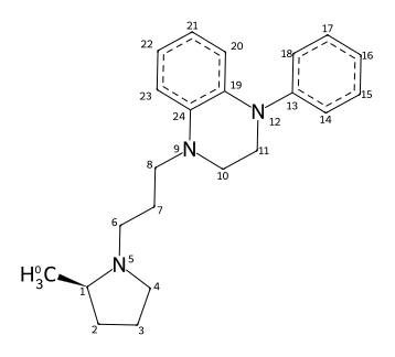 C[C@@H]1CCCN1CCCN1CCN(c2ccccc2)c2ccccc21